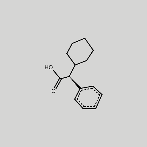 O=C(O)[C@H](c1ccccc1)C1CCCCC1